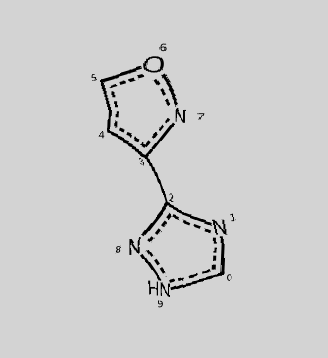 c1nc(-c2ccon2)n[nH]1